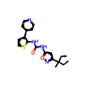 CCC(C)(CC)c1cc(NC(=O)Nc2sccc2-c2ccncc2)on1